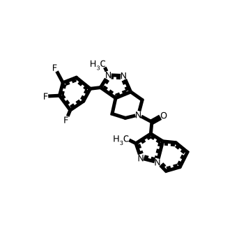 Cc1nn2ccccc2c1C(=O)N1CCc2c(nn(C)c2-c2cc(F)c(F)c(F)c2)C1